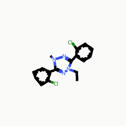 CCN1N=C(c2ccccc2Cl)N(C)N=C1c1ccccc1Cl